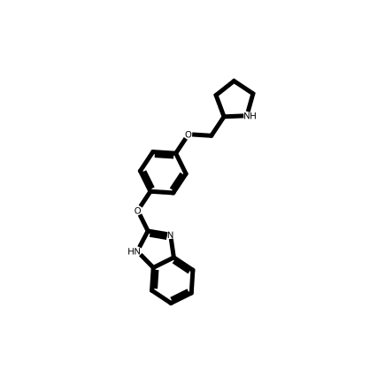 c1ccc2[nH]c(Oc3ccc(OCC4CCCN4)cc3)nc2c1